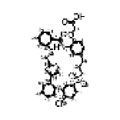 O=C(O)COc1ccc(CCCS(=O)(=O)c2ccc(Cl)cc2)cc1NC(=O)c1ccccc1SCc1ncc(-c2ccccc2)s1